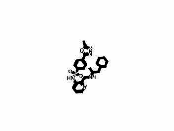 Cc1nnc(-c2ccc(S(=O)(=O)Nc3cccnc3CNC(C)CC3CCCCC3)cc2)o1